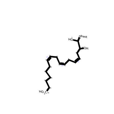 CCCCCC(O)C(O)C/C=C\C/C=C\C/C=C\CCCCCC(=O)O